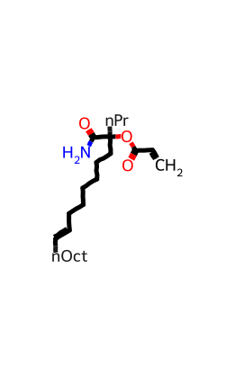 C=CC(=O)OC(CCC)(CCCCCCC=CCCCCCCCC)C(N)=O